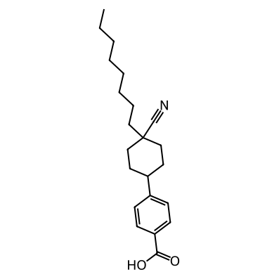 CCCCCCCCC1(C#N)CCC(c2ccc(C(=O)O)cc2)CC1